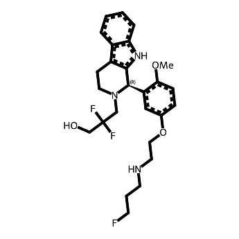 COc1ccc(OCCNCCCF)cc1[C@@H]1c2[nH]c3ccccc3c2CCN1CC(F)(F)CO